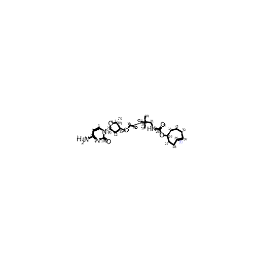 C[C@H]1O[C@@H](n2ccc(N)nc2=O)CC1OCSSC(C)(C)CNC(=O)OC1CC/C=C/CCC1